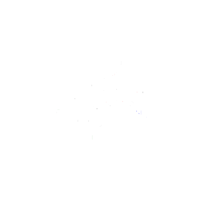 COCC1(COC(N)=O)Cc2cc(F)cc(CCl)c2O1